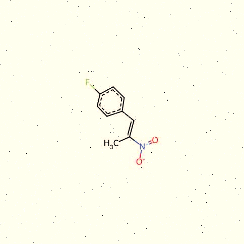 C/C(=C\c1ccc(F)cc1)[N+](=O)[O-]